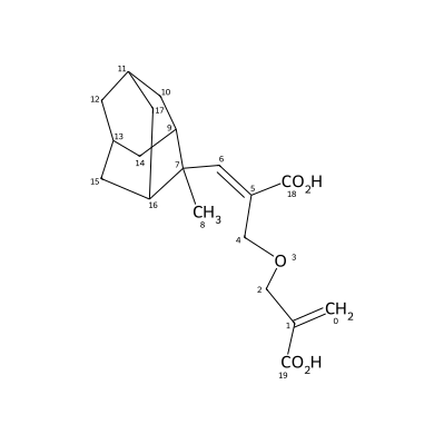 C=C(COCC(=CC1(C)C2CC3CC(C2)CC1C3)C(=O)O)C(=O)O